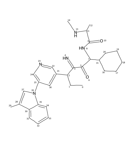 CCC(C(=N)C(=O)C(NC(=O)C(C)NC)C1CCCCC1)c1cncc(-n2cc(C)c3ccccc32)c1